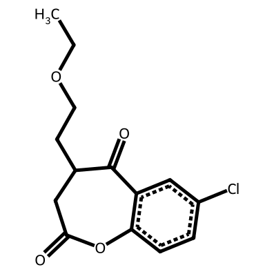 CCOCCC1CC(=O)Oc2ccc(Cl)cc2C1=O